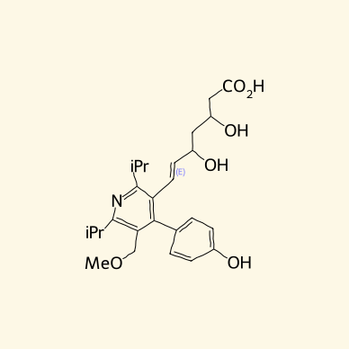 COCc1c(C(C)C)nc(C(C)C)c(/C=C/C(O)CC(O)CC(=O)O)c1-c1ccc(O)cc1